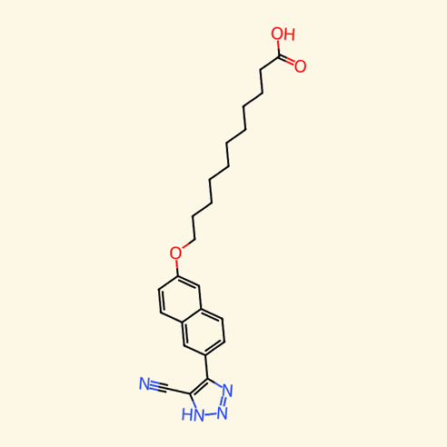 N#Cc1[nH]nnc1-c1ccc2cc(OCCCCCCCCCCC(=O)O)ccc2c1